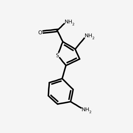 NC(=O)c1sc(-c2cccc(N)c2)cc1N